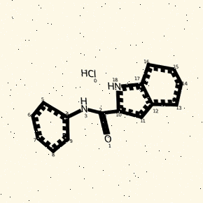 Cl.O=C(Nc1ccccc1)c1cc2ccccc2[nH]1